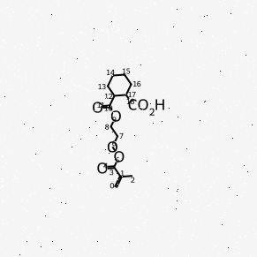 C=C(C)C(=O)OOCCOC(=O)C1CCCCC1C(=O)O